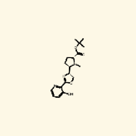 CN1[C@@H](C(=O)OC(C)(C)C)CC[C@@H]1[C@@H]1COC(c2ncccc2O)=N1